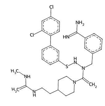 C=C(NC)NCCC1CCN(C(=C)N(Cc2cccc(C(=N)N)c2)NSc2cccc(-c3ccc(Cl)cc3Cl)c2)CC1